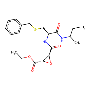 CCOC(=O)[C@H]1O[C@@H]1C(=O)N[C@@H](CSCc1ccccc1)C(=O)NC(C)CC